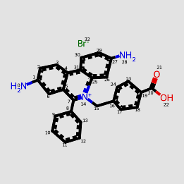 Nc1ccc2c(c1)c(-c1ccccc1)[n+](Cc1ccc(C(=O)O)cc1)c1cc(N)ccc21.[Br-]